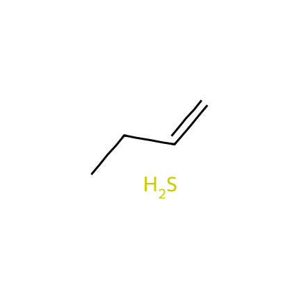 C=CCC.S